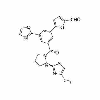 Cc1csc([C@H]2CCCN2C(=O)c2cc(-c3ccc(C=O)o3)cc(-c3ncco3)c2)n1